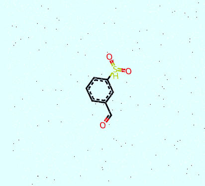 O=Cc1cccc([SH](=O)=O)c1